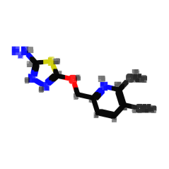 COc1ccc(COc2nnc(N)s2)nc1OC